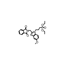 CCOP(=O)(CCCn1c(CN2C(=O)c3ccccc3C2=O)nc2cc(OC)ccc21)OCC